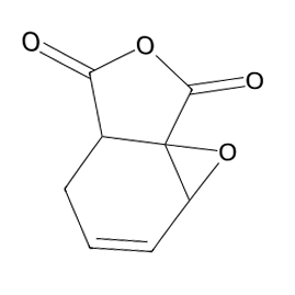 O=C1OC(=O)C23OC2C=CCC13